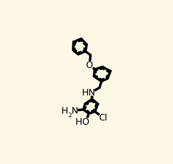 Nc1cc(NCc2cccc(OCc3ccccc3)c2)cc(Cl)c1O